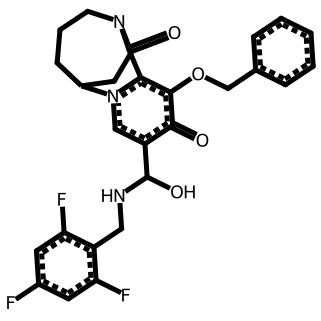 O=C1c2c(OCc3ccccc3)c(=O)c(C(O)NCc3c(F)cc(F)cc3F)cn2C2CCCN1CC2